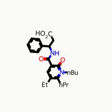 CCCCn1c(CCC)c(CC)cc(C(=O)NC(CC(=O)O)c2ccccc2)c1=O